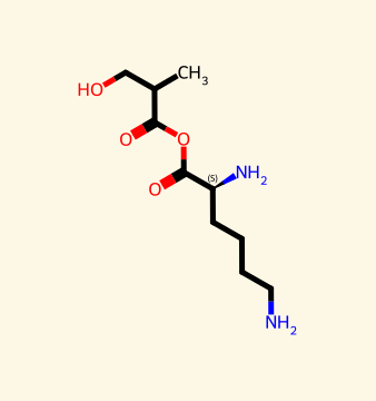 CC(CO)C(=O)OC(=O)[C@@H](N)CCCCN